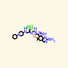 CC1(C)Cc2cnc(N)nc2-c2[nH]nc(C(=O)Nc3nc(CNC4CCN(C5CCCCC5)CC4)cs3)c21.Cl.Cl